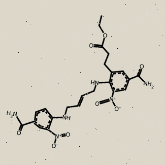 CCOC(=O)CCc1cc(C(N)=O)cc([N+](=O)[O-])c1NC/C=C/CNc1ccc(C(N)=O)cc1[N+](=O)[O-]